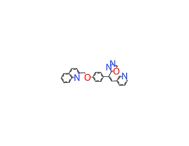 C(=C(c1ccc(OCc2ccc3ccccc3n2)cc1)c1nnco1)c1cccnc1